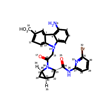 Nc1cccc2c1c1cc(C(=O)O)ccc1n2CC(=O)N1[C@@H]2C[C@@H]2C[C@H]1C(=O)Nc1cccc(Br)n1